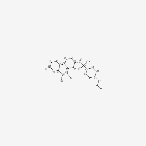 CCCC1CCC(C(F)(F)OC2CCC(C3CCC(C)CC3CC)C(CC)C2)CC1